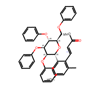 COC(=O)/C=C/c1c(C)cc(C(=O)O)cc1[C@H]1O[C@H](COc2ccccc2)[C@@H](Oc2ccccc2)[C@H](Oc2ccccc2)[C@@H]1Oc1ccccc1